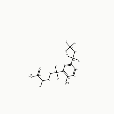 CC(CCC(C)(C)c1cc(C(C)(C)CC(C)(C)C)ccc1O)C(=O)O